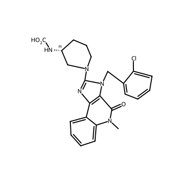 Cn1c(=O)c2c(nc(N3CCC[C@@H](NC(=O)O)C3)n2Cc2ccccc2Cl)c2ccccc21